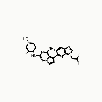 CN1CC[C@H](Nc2nc(N)c3c(-c4ccc5ncn(CC(F)F)c5n4)ccn3n2)[C@H](F)C1